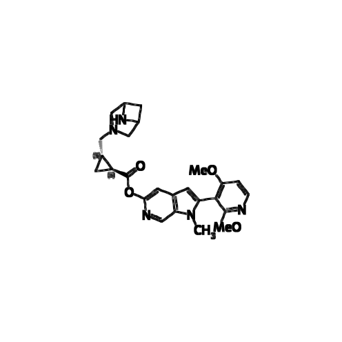 COc1ccnc(OC)c1-c1cc2cc(OC(=O)[C@H]3C[C@@H]3CN3CC4CC(C3)N4)ncc2n1C